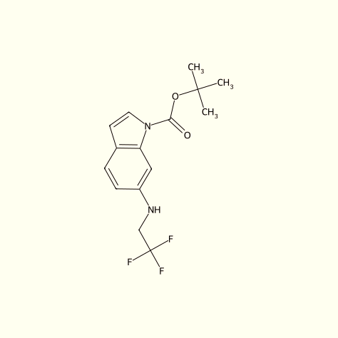 CC(C)(C)OC(=O)n1ccc2ccc(NCC(F)(F)F)cc21